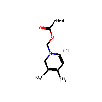 CCCCCCCC(=O)OCN1C=CC(C)=C(C(=O)O)C1.Cl